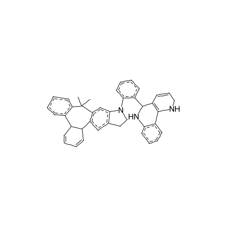 CC1(C)c2ccccc2C2C=CC=CC2c2cc3c(cc21)N(c1ccccc1C1Nc2ccccc2C2=C1C=CCN2)CC3